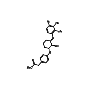 CCCc1c(O[C@@H]2CCC[C@@H](Oc3ccc(CC(=O)OC)cc3)[C@@H]2O)ccc(C(C)=O)c1O